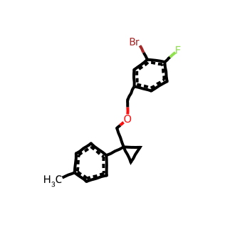 Cc1ccc(C2(COCc3ccc(F)c(Br)c3)CC2)cc1